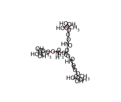 CC1[C@@H](OCCOCCOCCNC(=O)CCOCC(C)(COCCC(=O)NCCOCCOCCO[C@H]2OC(CO)[C@H](O)[C@H](O)C2C)COCCC(=O)NCCOCCOCCO[C@H]2OC(CO)[C@H](O)[C@H](O)C2C)OC(CO)[C@H](O)[C@@H]1O